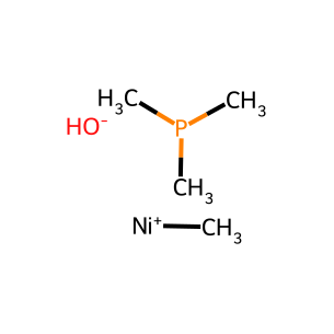 CP(C)C.[CH3][Ni+].[OH-]